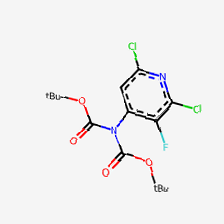 CC(C)(C)OC(=O)N(C(=O)OC(C)(C)C)c1cc(Cl)nc(Cl)c1F